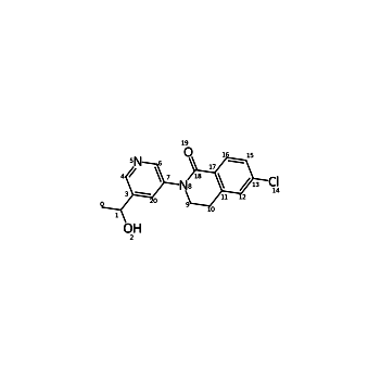 CC(O)c1cncc(N2CCc3cc(Cl)ccc3C2=O)c1